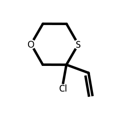 C=CC1(Cl)COCCS1